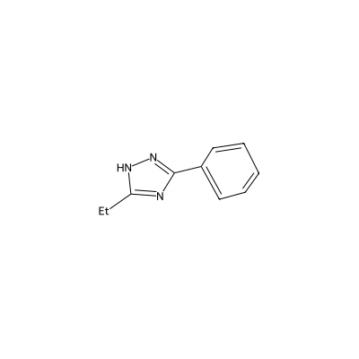 CCc1nc(-c2ccccc2)n[nH]1